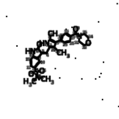 Cc1[nH]c(/C=C2\C(=O)Nc3ccc(S(=O)(=O)N(C)C)cc32)c(C)c1-c1ccc(C(=O)N2CCOCC2)cc1